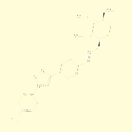 CO[C@@H]1[C@@H](OC)[C@H](C)O[C@@H](O/N=C/c2ccc(-c3cn(-c4ccc(C(F)(F)F)cc4)nn3)cc2)[C@@H]1OC